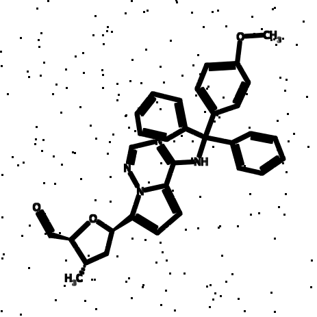 COc1ccc(C(Nc2ncnn3c([C@H]4C[C@H](C)[C@@H](C=O)O4)ccc23)(c2ccccc2)c2ccccc2)cc1